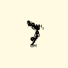 CN(Cc1cccc(NC(=O)c2nc(-c3ccc(S(=O)(=O)C(C)(C)CC(CCCCCCO)OC4CCCCO4)cc3)cnc2N)c1O)C(=O)OC(C)(C)C